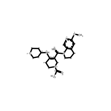 COc1cc2c(cn1)N(C(=N)C1=C(NC3CCOCC3)CCN(C(C)=O)C1)CCC2